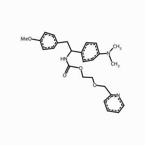 COc1ccc(CC(NC(=O)OCCOCc2ccccn2)c2ccc(N(C)C)cc2)cc1